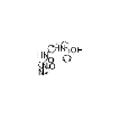 Cc1cc(=O)n2c(n1)CC[C@H]2C(=O)Nc1ccc(C[C@@H]2CC[C@H]([C@H](O)c3ccccc3)N2)cc1